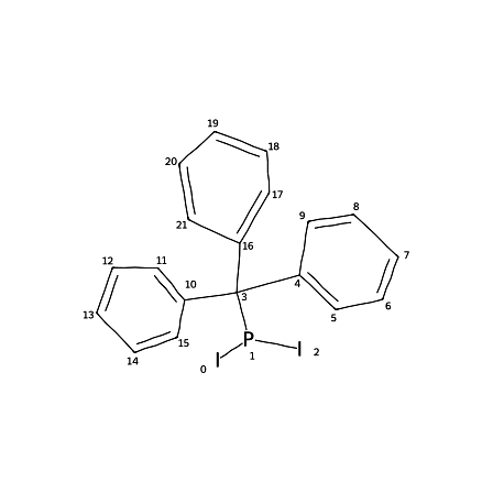 IP(I)C(c1ccccc1)(c1ccccc1)c1ccccc1